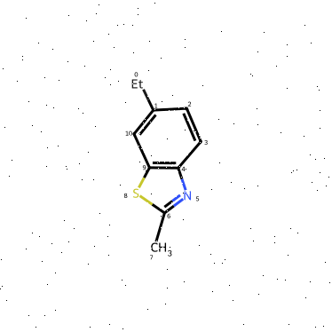 CCc1ccc2nc(C)sc2c1